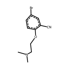 CN(C)CCOc1ccc(Br)cc1C#N